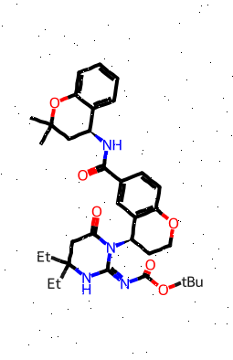 CCC1(CC)CC(=O)N([C@@H]2CCOc3ccc(C(=O)N[C@H]4CC(C)(C)Oc5ccccc54)cc32)/C(=N\C(=O)OC(C)(C)C)N1